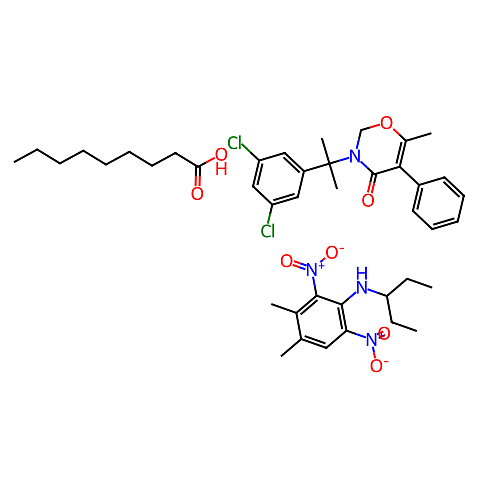 CC1=C(c2ccccc2)C(=O)N(C(C)(C)c2cc(Cl)cc(Cl)c2)CO1.CCC(CC)Nc1c([N+](=O)[O-])cc(C)c(C)c1[N+](=O)[O-].CCCCCCCCC(=O)O